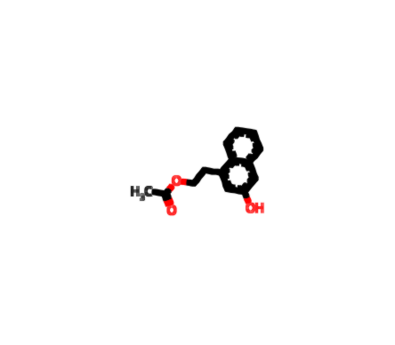 CC(=O)OCCc1cc(O)cc2ccccc12